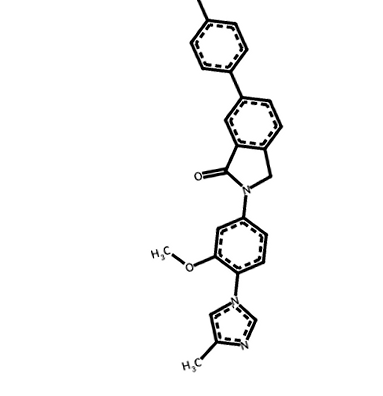 COc1cc(N2Cc3ccc(-c4ccc(Cl)cc4)cc3C2=O)ccc1-n1cnc(C)c1